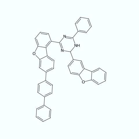 c1ccc(C2=NC(c3cccc4oc5cc(-c6ccc(-c7ccccc7)cc6)ccc5c34)=NC(c3ccc4oc5ccccc5c4c3)N2)cc1